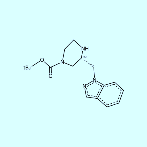 CC(C)(C)OC(=O)N1CCN[C@H](Cn2ncc3ccccc32)C1